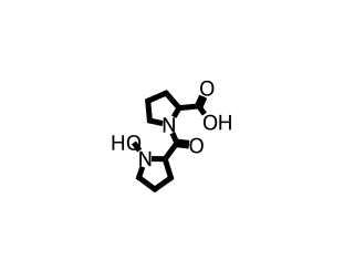 O=C(O)C1CCCN1C(=O)C1CCCN1O